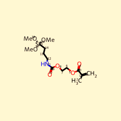 C=C(C)C(=O)OCCOC(=O)NCCC[Si](OC)(OC)OC